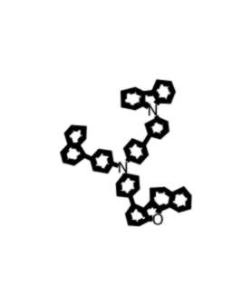 c1cc(-c2ccc(N(c3ccc(-c4cccc5ccccc45)cc3)c3ccc(-c4cccc5oc6c7ccccc7ccc6c45)cc3)cc2)cc(-n2c3ccccc3c3ccccc32)c1